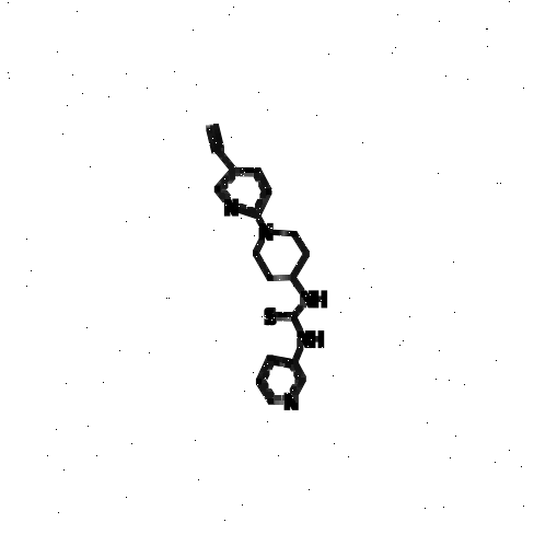 C#Cc1ccc(N2CCC(NC(=S)Nc3cccnc3)CC2)nc1